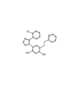 Oc1cc(O)c(-c2ccnn2-c2ccccc2Cl)cc1CCc1ccccn1